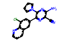 N#Cc1nc(-c2cc(Cl)c3ncccc3c2)c(-n2cccc2)nc1N